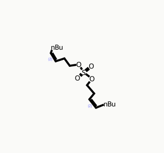 CCCC/C=C\CCOS(=O)(=O)OCC/C=C\CCCC